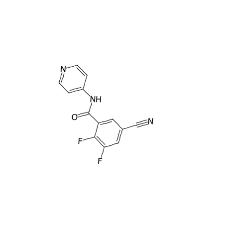 N#Cc1cc(F)c(F)c(C(=O)Nc2ccncc2)c1